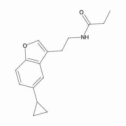 CCC(=O)NCCc1coc2ccc(C3CC3)cc12